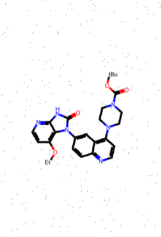 CCOc1ccnc2[nH]c(=O)n(-c3ccc4nccc(N5CCN(C(=O)OC(C)(C)C)CC5)c4c3)c12